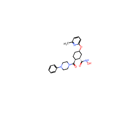 Cc1cccc(O[C@@H]2CC[C@H](C(=O)N3CCN(c4ccccc4)CC3)[C@@H](C(=O)NO)C2)n1